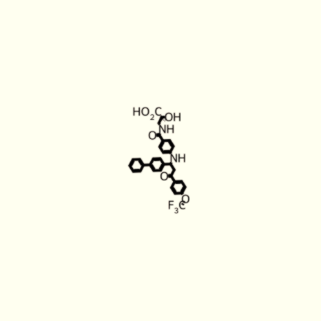 O=C(CC(Nc1ccc(C(=O)NC[C@@H](O)C(=O)O)cc1)c1ccc(-c2ccccc2)cc1)c1ccc(OC(F)(F)F)cc1